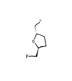 FC[C@@H]1CC[C@@H](CF)O1